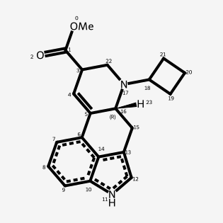 COC(=O)C1C=C2c3cccc4[nH]cc(c34)C[C@H]2N(C2CCC2)C1